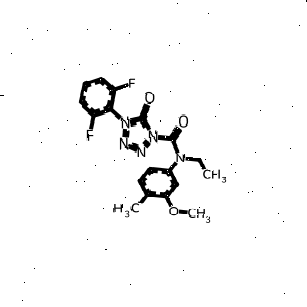 CCN(C(=O)n1nnn(-c2c(F)cccc2F)c1=O)c1ccc(C)c(OC)c1